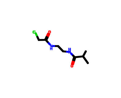 CC(C)C(=O)NCCNC(=O)CCl